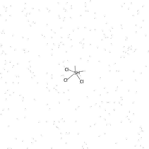 [CH2][SH](C)(Cl)(Cl)Cl